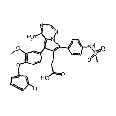 COc1cc(-c2c(CCC(=O)O)c(-c3ccc(NS(C)(=O)=O)cc3)n3ncnc(N)c23)ccc1Oc1cccc(Cl)c1